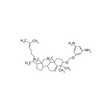 CC(C)=CCCCC(C)C1CCC2C3CC=C4C(C)(C)C(OCOc5cc(N)cc(N)c5)CCC4(C)C3CCC12C